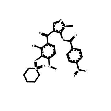 COc1ccc(C(=O)c2cnn(C)c2OC(=O)c2ccc([N+](=O)[O-])cc2)c(Cl)c1N=S1(=O)CCCCC1